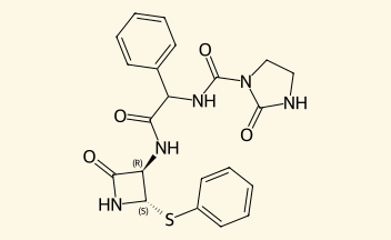 O=C(N[C@@H]1C(=O)N[C@H]1Sc1ccccc1)C(NC(=O)N1CCNC1=O)c1ccccc1